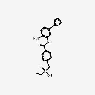 CCP(=O)(O)Cc1ccc(C(=O)Nc2cc(-c3cccs3)ccc2N)cc1